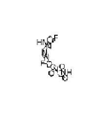 O=C1CCC(N2Cc3cc(N4CCN(Cc5nc6cc(F)ccc6[nH]5)CC4)c(F)cc3C2=O)C(=O)N1